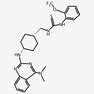 CN(C)c1nc(N[C@H]2CC[C@@H](CNC(=S)Nc3ccccc3OC(F)(F)F)CC2)nc2ccccc12